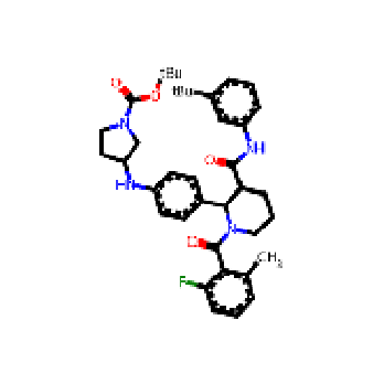 Cc1cccc(F)c1C(=O)N1CCCC(C(=O)Nc2cccc(C(C)(C)C)c2)C1c1ccc(NC2CCN(C(=O)OC(C)(C)C)C2)cc1